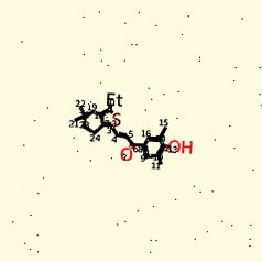 CCc1sc(C=CC(=O)c2cc(C)c(O)c(C)c2)c2c1CC(C)(C)CC2